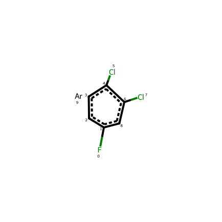 Fc1ccc(Cl)c(Cl)c1.[Ar]